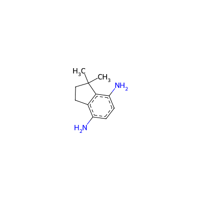 CC1(C)CCc2c(N)ccc(N)c21